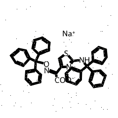 O=C([O-])/C(=N/OC(c1ccccc1)(c1ccccc1)c1ccccc1)c1csc(NC(c2ccccc2)(c2ccccc2)c2ccccc2)n1.[Na+]